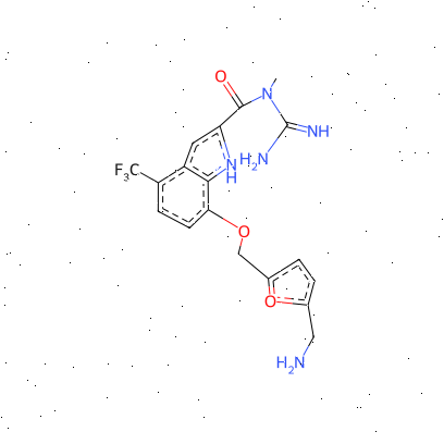 CN(C(=N)N)C(=O)c1cc2c(C(F)(F)F)ccc(OCc3ccc(CN)o3)c2[nH]1